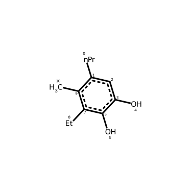 CCCc1cc(O)c(O)c(CC)c1C